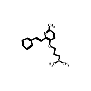 Cc1ccc(OCCCN(C)C)c(C=Cc2ccccc2)n1